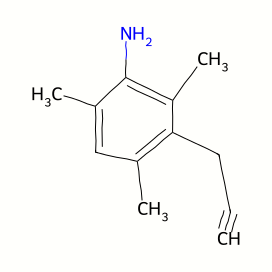 C#CCc1c(C)cc(C)c(N)c1C